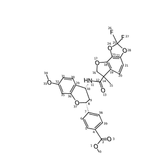 COC(=O)c1ccc([C@H]2C[C@@H](NC(=O)C3(C)COc4c3ccc3c4OC(F)(F)O3)c3ccc(OC)cc3O2)cc1